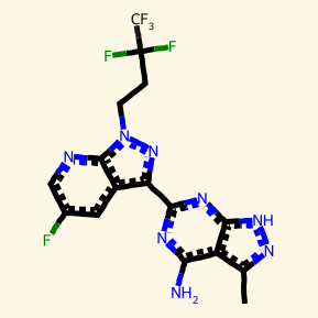 Cc1n[nH]c2nc(-c3nn(CCC(F)(F)C(F)(F)F)c4ncc(F)cc34)nc(N)c12